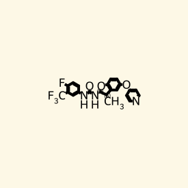 C[C@H]1c2cc(Oc3ccncc3)ccc2O[C@H]1NC(=O)Nc1ccc(F)c(C(F)(F)F)c1